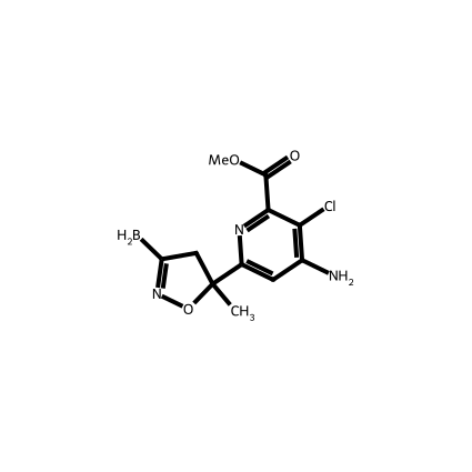 BC1=NOC(C)(c2cc(N)c(Cl)c(C(=O)OC)n2)C1